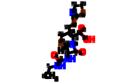 CCNC(=O)NC1C(=O)N2C(C(=O)O)=C(CSC3=NCCS3)CS[C@@H]12